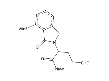 CNC(=O)C(CCC=O)N1Cc2cccc(SC)c2C1=O